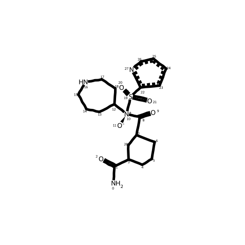 NC(=O)C1CCCC(C(=O)[N@+]([O-])(C2CCCNCC2)S(=O)(=O)c2ccccn2)C1